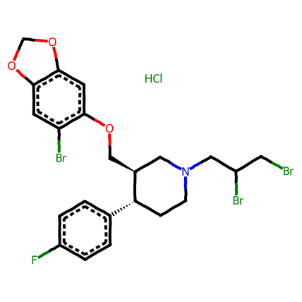 Cl.Fc1ccc([C@H]2CCN(CC(Br)CBr)C[C@@H]2COc2cc3c(cc2Br)OCO3)cc1